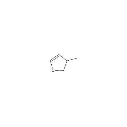 CC1C=COC1